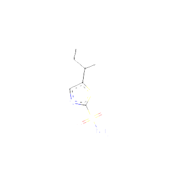 CCC(C)c1cnc(S(N)(=O)=O)s1